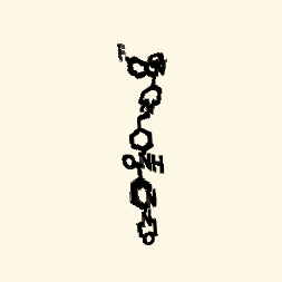 O=C(NC1CCC(CCN2CCC(c3noc4cc(F)ccc34)CC2)CC1)c1ccc(N2CCOCC2)nc1